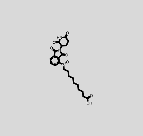 O=C(O)CCCCCCCCC[S+]([O-])c1cccc2c1C(=O)N(C1CCC(=O)NC1=O)C2=O